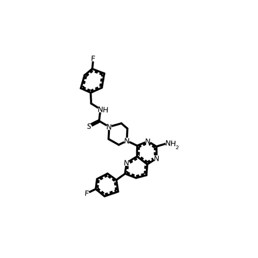 Nc1nc(N2CCN(C(=S)NCc3ccc(F)cc3)CC2)c2nc(-c3ccc(F)cc3)ccc2n1